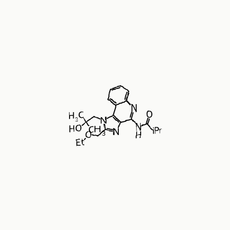 CCOCc1nc2c(NC(=O)C(C)C)nc3ccccc3c2n1CC(C)(C)O